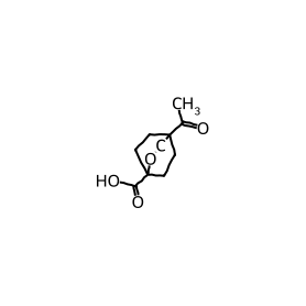 CC(=O)C12CCC(C(=O)O)(CC1)OC2